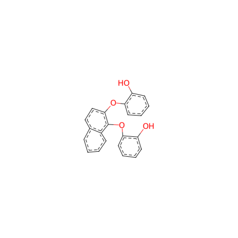 Oc1ccccc1Oc1ccc2ccccc2c1Oc1ccccc1O